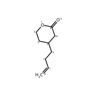 C=CCCC1CCOC(=O)C1